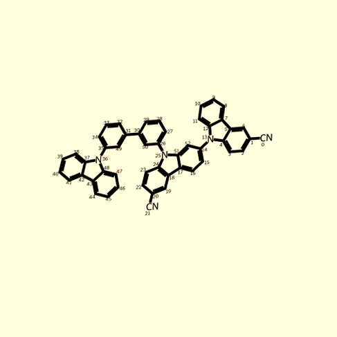 N#Cc1ccc2c(c1)c1ccccc1n2-c1ccc2c3cc(C#N)ccc3n(-c3cccc(-c4cccc(-n5c6ccccc6c6ccccc65)c4)c3)c2c1